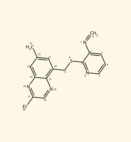 C=Nc1cccnc1SCc1cc(C)cc2nc(CC)cnc12